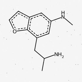 CNc1cc(CC(C)N)c2occc2c1